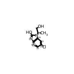 C[C@H](CO)n1c(O)nc2ncc(Cl)cc21